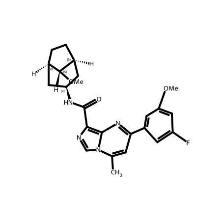 COc1cc(F)cc(-c2cc(C)n3cnc(C(=O)N[C@H]4C[C@H]5CC[C@@H](C4)[C@@H]5OC)c3n2)c1